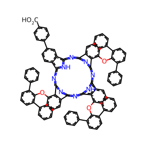 O=C(O)c1ccc(-c2ccc3c4nc5nc(nc6[nH]c(nc7nc(nc([nH]4)c3c2)-c2cccc(Oc3c(-c4ccccc4)cccc3-c3ccccc3)c2-7)c2cccc(Oc3c(-c4ccccc4)cccc3-c3ccccc3)c62)-c2cccc(Oc3c(-c4ccccc4)cccc3-c3ccccc3)c2-5)cc1